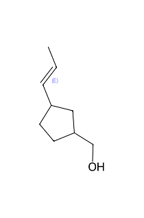 C/C=C/C1CCC(CO)C1